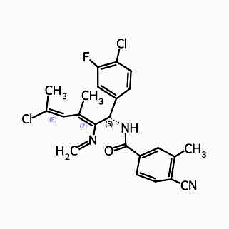 C=N/C(=C(C)\C=C(/C)Cl)[C@@H](NC(=O)c1ccc(C#N)c(C)c1)c1ccc(Cl)c(F)c1